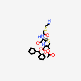 CC(=O)OCC1=C(C(=O)OC(c2ccccc2)c2ccccc2)N2C(=O)C(NC(=O)CSCC#N)[C@H]2SC1